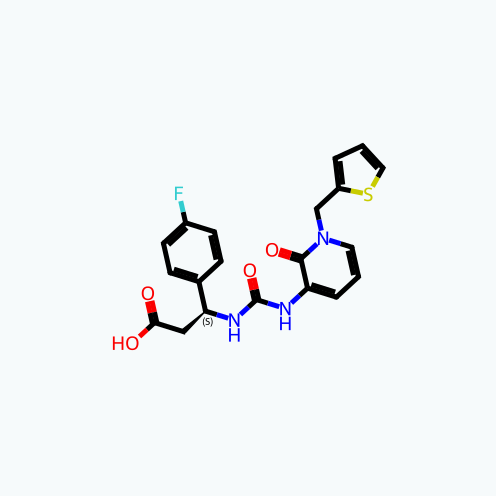 O=C(O)C[C@H](NC(=O)Nc1cccn(Cc2cccs2)c1=O)c1ccc(F)cc1